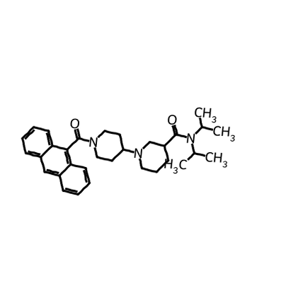 CC(C)N(C(=O)C1CCCN(C2CCN(C(=O)c3c4ccccc4cc4ccccc34)CC2)C1)C(C)C